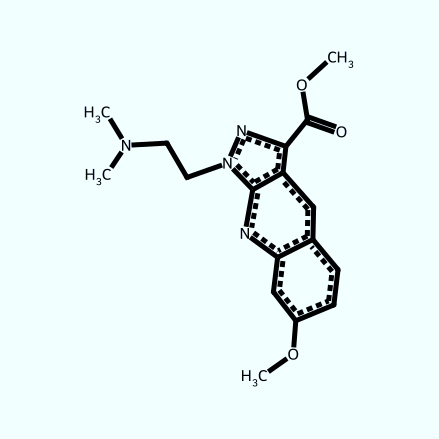 COC(=O)c1nn(CCN(C)C)c2nc3cc(OC)ccc3cc12